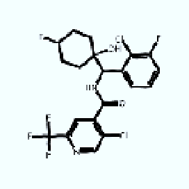 O=C(NC(c1cccc(F)c1Cl)[C@]1(O)CC[C@@H](F)CC1)c1cc(C(F)(F)F)ncc1Cl